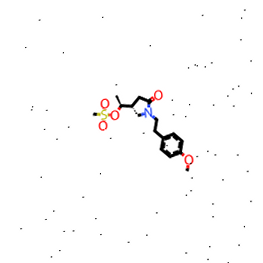 COc1ccc(CCN2C[C@H]([C@H](C)OS(C)(=O)=O)CC2=O)cc1